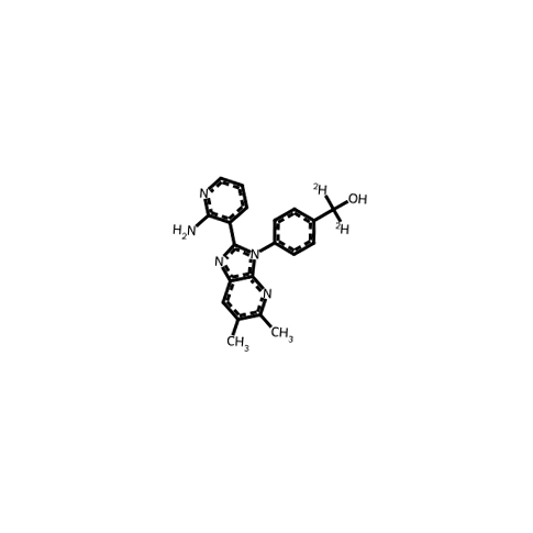 [2H]C([2H])(O)c1ccc(-n2c(-c3cccnc3N)nc3cc(C)c(C)nc32)cc1